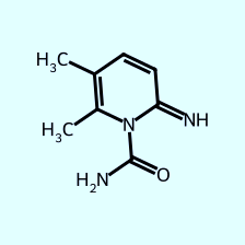 Cc1ccc(=N)n(C(N)=O)c1C